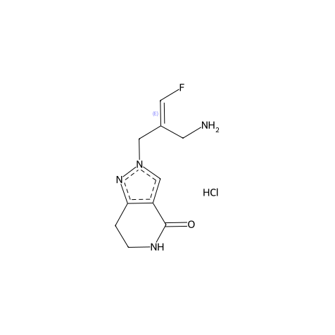 Cl.NC/C(=C\F)Cn1cc2c(n1)CCNC2=O